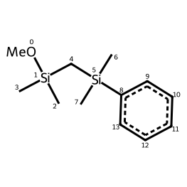 CO[Si](C)(C)C[Si](C)(C)c1ccccc1